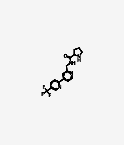 O=C(NCc1cc(-c2ccc(C(F)(F)F)cn2)ccn1)C1CCCN1